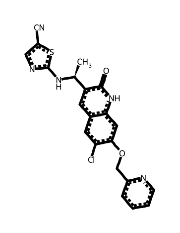 C[C@H](Nc1ncc(C#N)s1)c1cc2cc(Cl)c(OCc3ccccn3)cc2[nH]c1=O